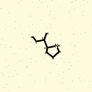 CCC(C)C1CCC[N]1